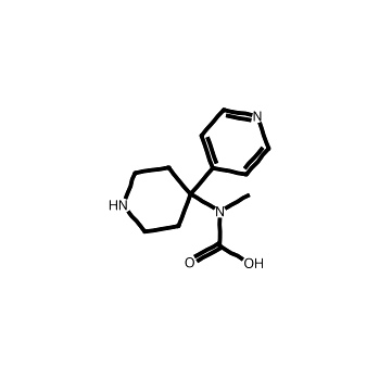 CN(C(=O)O)C1(c2ccncc2)CCNCC1